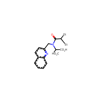 CCC(CC)C(=O)N(Cc1ccc2ccccc2n1)C(C(=O)O)C(=O)O